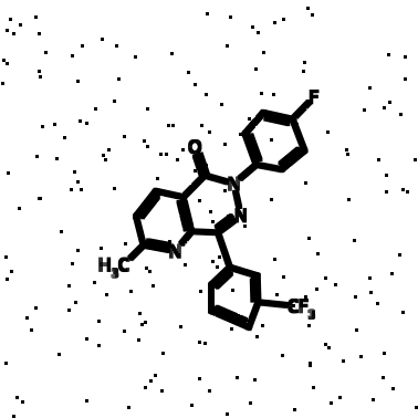 Cc1ccc2c(=O)n(-c3ccc(F)cc3)nc(-c3cccc(C(F)(F)F)c3)c2n1